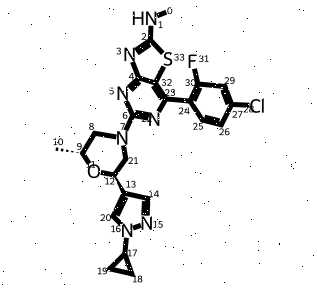 CNc1nc2nc(N3C[C@@H](C)O[C@H](c4cnn(C5CC5)c4)C3)nc(-c3ccc(Cl)cc3F)c2s1